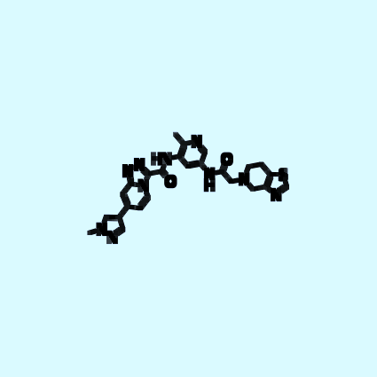 Cc1ncc(NC(=O)CN2CCc3scnc3C2)cc1NC(=O)c1nnc2cc(-c3cnn(C)c3)ccn12